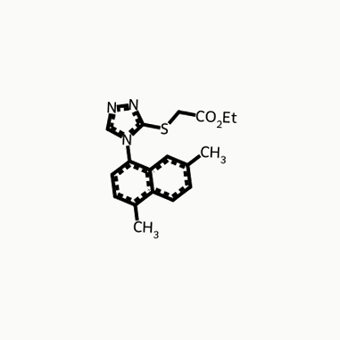 CCOC(=O)CSc1nncn1-c1ccc(C)c2ccc(C)cc12